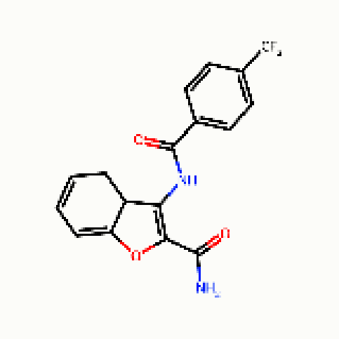 NC(=O)C1=C(NC(=O)c2ccc(C(F)(F)F)cc2)C2CC=CC=C2O1